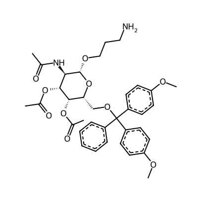 COc1ccc(C(OC[C@H]2O[C@@H](OCCCN)[C@H](NC(C)=O)[C@@H](OC(C)=O)[C@H]2OC(C)=O)(c2ccccc2)c2ccc(OC)cc2)cc1